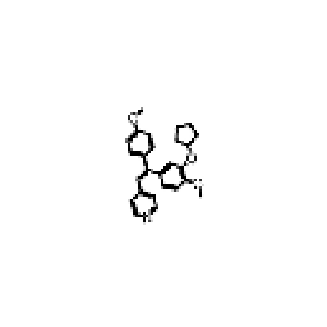 COc1ccc(C(=Cc2ccncc2)c2ccc(OC)c(OC3CCCC3)c2)cc1